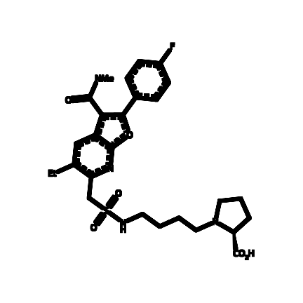 CCc1cc2c(C(=O)NC)c(-c3ccc(F)cc3)oc2nc1CS(=O)(=O)NCCCCN1CCC[C@H]1C(=O)O